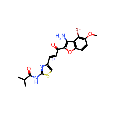 COc1ccc2oc(C(=O)/C=C/c3csc(NC(=O)C(C)C)n3)c(N)c2c1Br